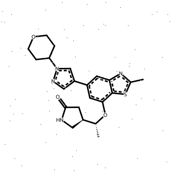 Cc1nc2cc(-c3cnn(C4CCOCC4)c3)cc(O[C@H](C)[C@H]3CNC(=O)C3)c2s1